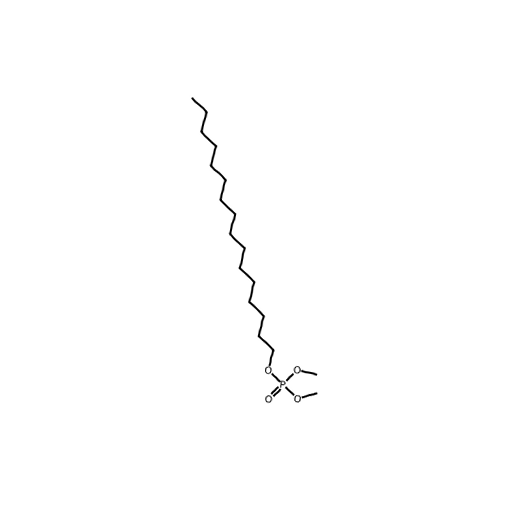 CCCCCCCCCCCCCCCCOP(=O)(OC)OC